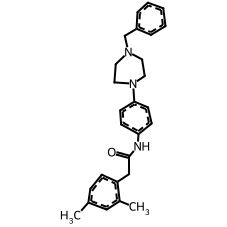 Cc1ccc(CC(=O)Nc2ccc(N3CCN(Cc4ccccc4)CC3)cc2)c(C)c1